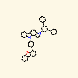 c1ccc(-c2cc(-c3ccccc3)cc(-n3ccc4c3ccc3c5ccccc5n(-c5ccc(-c6cccc7c6oc6ccccc67)cc5)c34)c2)cc1